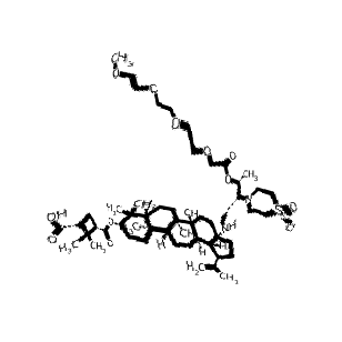 C=C(C)[C@@H]1CC[C@]2(NC[C@H]([C@@H](C)OC(=O)COCCOCCOCCOC)N3CCS(=O)(=O)CC3)CC[C@]3(C)[C@H](CC[C@@H]4[C@@]5(C)CC[C@H](OC(=O)[C@H]6C[C@@H](C(=O)O)C6(C)C)C(C)(C)[C@@H]5CC[C@]43C)[C@@H]12